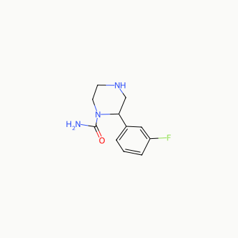 NC(=O)N1CCNCC1c1cccc(F)c1